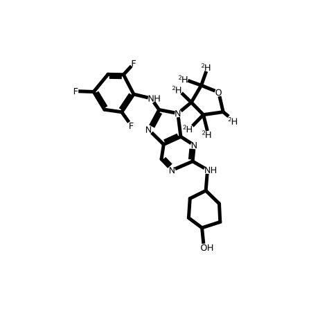 [2H]C1OC([2H])([2H])C([2H])(n2c(Nc3c(F)cc(F)cc3F)nc3cnc(NC4CCC(O)CC4)nc32)C1([2H])[2H]